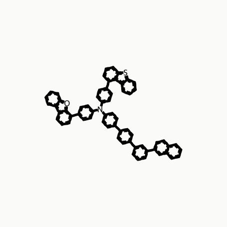 c1cc(-c2ccc(-c3ccc(N(c4ccc(-c5cccc6c5oc5ccccc56)cc4)c4ccc(-c5cccc6sc7ccccc7c56)cc4)cc3)cc2)cc(-c2ccc3ccccc3c2)c1